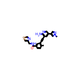 Cc1ccc(C(=O)NCc2cscn2)cc1C#Cc1cc(-c2cnn(C)c2)cnc1N